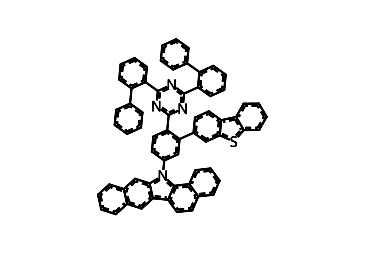 c1ccc(-c2ccccc2-c2nc(-c3ccccc3-c3ccccc3)nc(-c3ccc(-n4c5cc6ccccc6cc5c5ccc6ccccc6c54)cc3-c3ccc4c(c3)sc3ccccc34)n2)cc1